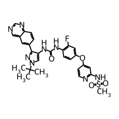 CC(C)(C)n1cc(NC(=O)Nc2ccc(Oc3ccnc(NS(C)(=O)=O)c3)cc2F)c(-c2ccc3ncncc3c2)n1